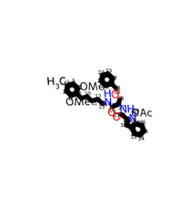 COc1cc(C)cc(OC)c1CCCCCNC(=O)C(COCc1ccccc1)NC(=O)c1cc2ccccc2n1OC(C)=O